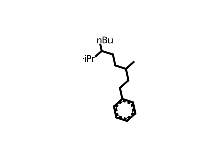 CCCCC(CCC(C)CCc1ccccc1)[C](C)C